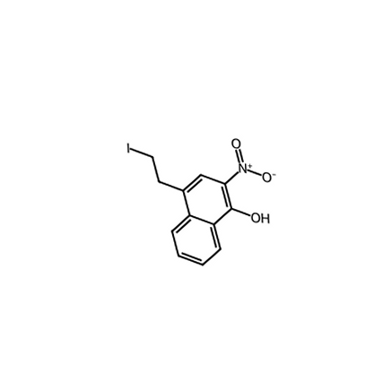 O=[N+]([O-])c1cc(CCI)c2ccccc2c1O